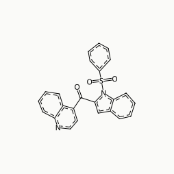 O=C(c1ccnc2ccccc12)c1cc2ccccc2n1S(=O)(=O)c1ccccc1